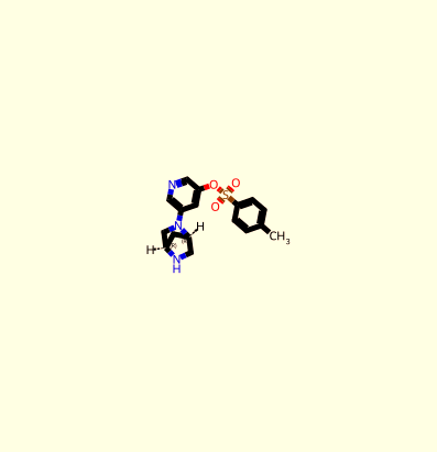 Cc1ccc(S(=O)(=O)Oc2cncc(N3C[C@H]4C[C@@H]3CN4)c2)cc1